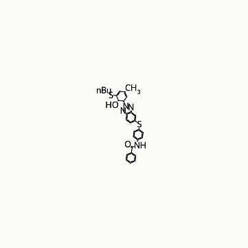 CCCCSC1=CC(C)=CC(n2nc3ccc(Sc4ccc(NC(=O)c5ccccc5)cc4)cc3n2)C1O